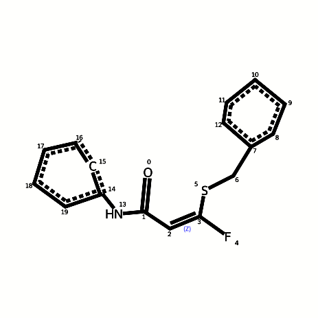 O=C(/C=C(/F)SCc1ccccc1)Nc1ccccc1